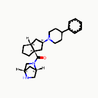 O=C(N1C[C@@H]2C[C@H]1CN2)[C@@]12CCC[C@@H]1C[C@@H](N1CCC(c3ccccc3)CC1)C2